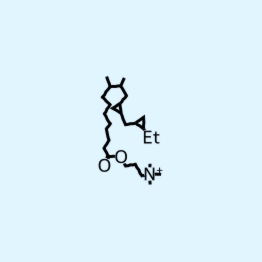 CCC1CC1CC1CC1CC(C)C(C)CCCCCCCC(=O)OCCC[N+](C)(C)C